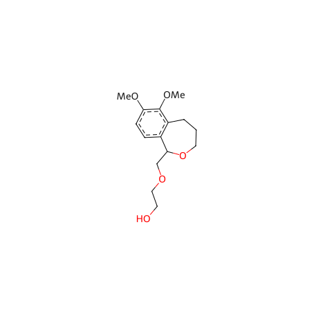 COc1ccc2c(c1OC)CCCOC2COCCO